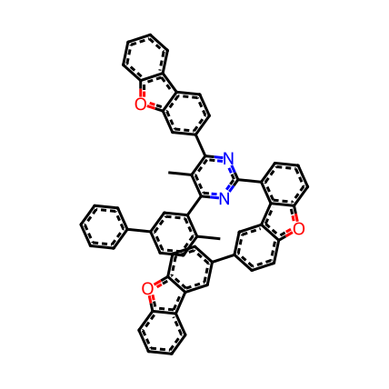 Cc1ccc(-c2ccccc2)cc1-c1nc(-c2cccc3oc4ccc(-c5ccc6oc7ccccc7c6c5)cc4c23)nc(-c2ccc3c(c2)oc2ccccc23)c1C